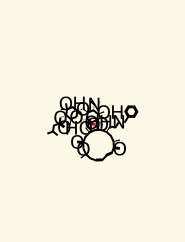 CO[C@@H]1[C@@H](O[C@@H]2O[C@H](C)[C@@H](O[C@H]3C[C@@](C)(O)[C@@H](OC(=O)CC(C)C)[C@H](C)O3)[C@H](N(C)C)[C@H]2O)[C@@H](CCNCc2ccccc2)C[C@@H](C)C(=O)/C=C/C=C\C[C@@H](C)OC(=O)C[C@H]1O